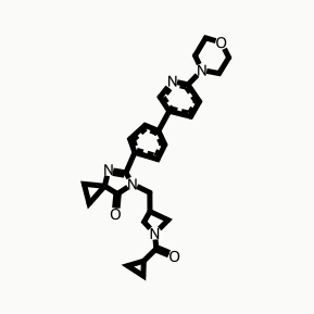 O=C(C1CC1)N1CC(CN2C(=O)C3(CC3)N=C2c2ccc(-c3ccc(N4CCOCC4)nc3)cc2)C1